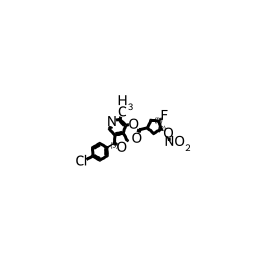 Cc1ncc2c(c1OC(=O)C1C[C@@H](F)[C@H](O[N+](=O)[O-])C1)CO[C@H]2c1ccc(Cl)cc1